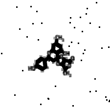 Cc1cc(O)c2c(c1)OC(c1ccc(O)cc1)CC21OC2=C(O1)C(C)OC2=O